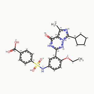 CCOc1ccc(NS(=O)(=O)c2ccc(C(=O)O)cc2)cc1-c1nn2c(C3CCCC3)nc(C)c2c(=O)[nH]1